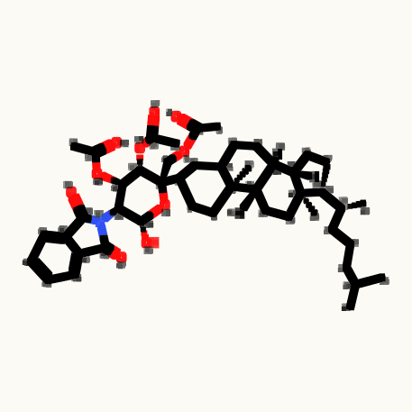 CC(=O)OC[C@@]1(C2CC[C@@]3(C)C(CC[C@H]4[C@@H]5CC[C@H]([C@H](C)CCCC(C)C)[C@@]5(C)CC[C@@H]43)C2)O[C@H](O)[C@@H](N2C(=O)c3ccccc3C2=O)[C@@H](OC(C)=O)[C@@H]1OC(C)=O